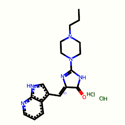 CCCN1CCN(C2=N/C(=C\c3c[nH]c4ncccc34)C(=O)N2)CC1.Cl.Cl